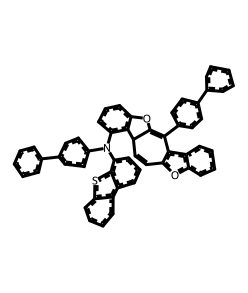 C1=CC2C(=C(c3ccc(-c4ccccc4)cc3)c3c1oc1ccccc31)Oc1cccc(N(c3ccc(-c4ccccc4)cc3)c3cccc4c3sc3ccccc34)c12